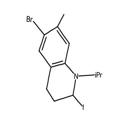 Cc1cc2c(cc1Br)CCC(I)N2C(C)C